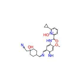 COC1=CC(=N)/C(=C\N=C/C2CCC(O)(CC#N)CC2)C=C1NC(=O)c1cccc(C2CC2)[n+]1O